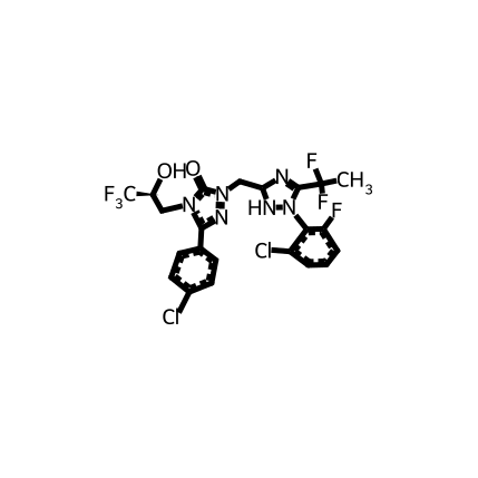 CC(F)(F)C1=NC(Cn2nc(-c3ccc(Cl)cc3)n(C[C@H](O)C(F)(F)F)c2=O)NN1c1c(F)cccc1Cl